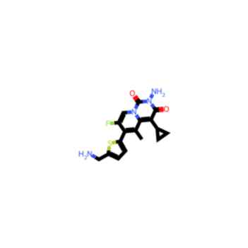 Cc1c(-c2ccc(CN)s2)c(F)cn2c(=O)n(N)c(=O)c(C3CC3)c12